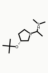 CC(N1CC[C@@H](OC(C)(C)C)C1)[SH](C)C